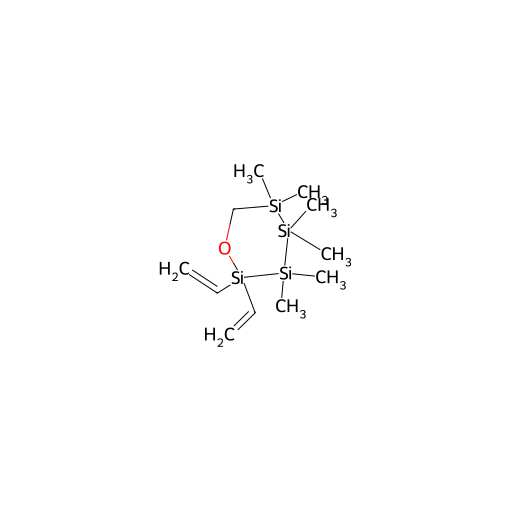 C=C[Si]1(C=C)OC[Si](C)(C)[Si](C)(C)[Si]1(C)C